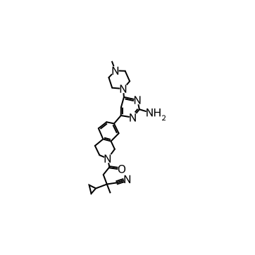 CN1CCN(c2cc(-c3ccc4c(c3)CN(C(=O)CC(C)(C#N)C3CC3)CC4)nc(N)n2)CC1